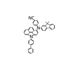 CC1(C)c2ccccc2-c2ccc(N(c3ccc(C#N)cc3)c3ccc4c5c3ccc3cccc(c35)n4-c3ccc(-c4ccccc4)cc3)cc21